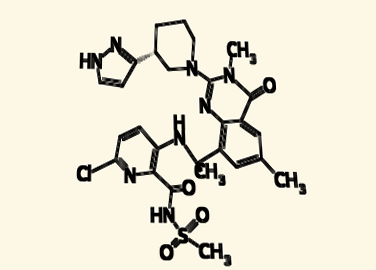 Cc1cc([C@@H](C)Nc2ccc(Cl)nc2C(=O)NS(C)(=O)=O)c2nc(N3CCC[C@@H](c4cc[nH]n4)C3)n(C)c(=O)c2c1